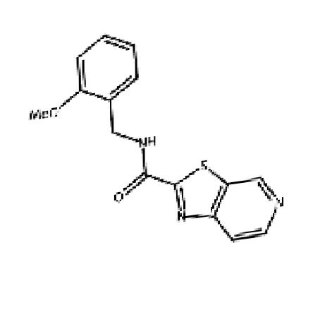 COc1ccccc1CNC(=O)c1nc2ccncc2s1